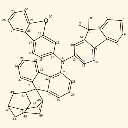 CC1(C)c2ccccc2-c2ccc(N(c3ccc4c(c3)oc3ccccc34)c3cccc4c3-c3ccccc3C43C4CCC5CC(C4)CC3C5)cc21